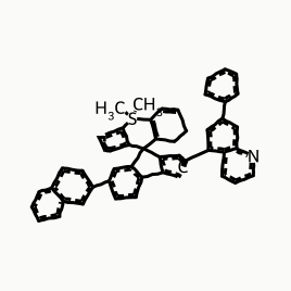 CS1(C)C2=C(CCC=C2)C2(c3cc(-c4ccc5ccccc5c4)ccc3-c3ccc(-c4cc(-c5ccccc5)cc5ncccc45)cc32)c2ccccc21